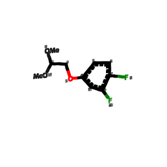 COC(COc1ccc(F)c(F)c1)OC